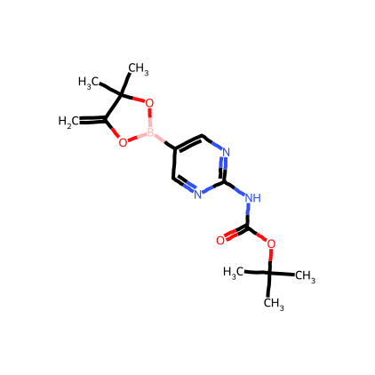 C=C1OB(c2cnc(NC(=O)OC(C)(C)C)nc2)OC1(C)C